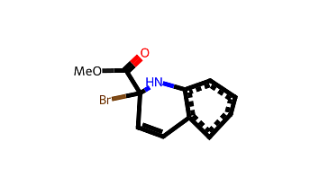 COC(=O)C1(Br)C=Cc2ccccc2N1